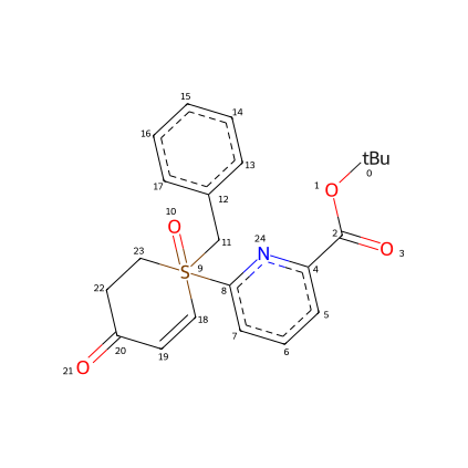 CC(C)(C)OC(=O)c1cccc(S2(=O)(Cc3ccccc3)C=CC(=O)CC2)n1